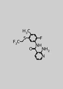 Cc1cc(F)c(NC(=O)c2cccnc2N)cc1SCC(F)(F)F